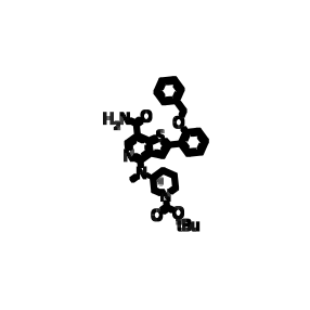 CN(c1ncc(C(N)=O)c2sc(-c3ccccc3OCc3ccccc3)cc12)[C@H]1CCCN(C(=O)OC(C)(C)C)C1